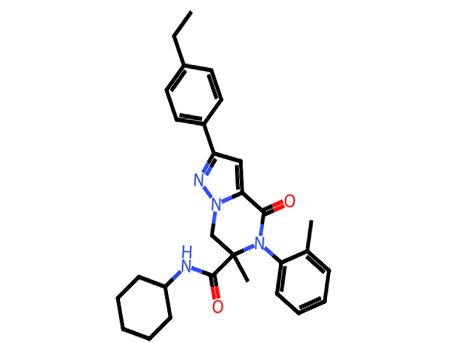 CCc1ccc(-c2cc3n(n2)CC(C)(C(=O)NC2CCCCC2)N(c2ccccc2C)C3=O)cc1